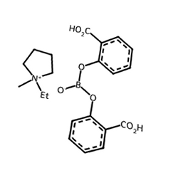 CC[N+]1(C)CCCC1.O=C(O)c1ccccc1OB([O-])Oc1ccccc1C(=O)O